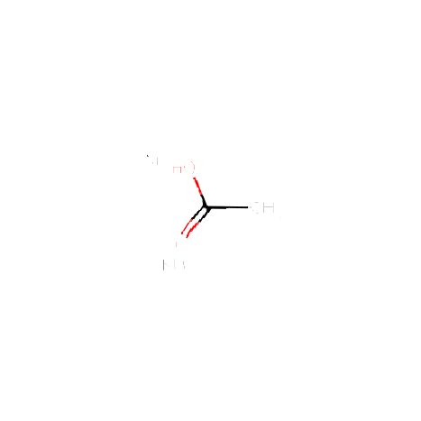 CC(=O)O.[KH].[Ni]